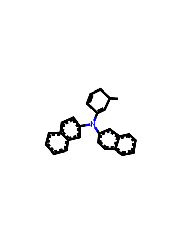 CC1C=C(N(c2ccc3ccccc3c2)c2ccc3ccccc3c2)C=CC1